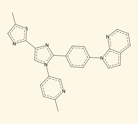 Cc1ccc(-n2cc(-c3ncc(C)s3)nc2-c2ccc(-n3ccc4cccnc43)cc2)cn1